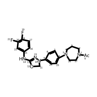 CC(=O)N1CCCN(c2ccc(N3COC(Nc4ccc(F)c(F)c4)=N3)cc2)CC1